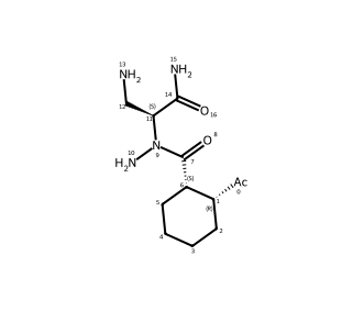 CC(=O)[C@@H]1CCCC[C@@H]1C(=O)N(N)[C@@H](CN)C(N)=O